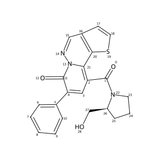 O=C(c1cc(-c2ccccc2)c(=O)n2ncc3ccsc3c12)N1CCC[C@H]1CO